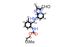 COCCOC(=O)Nc1cccc(C)c1CNc1cccn2c(C=O)c(C)nc12